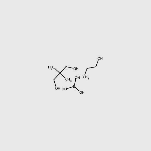 CC(C)(CO)CO.CCCO.OB(O)O